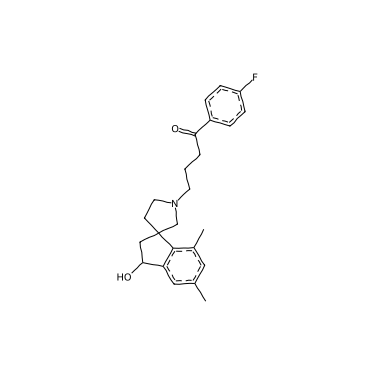 Cc1cc(C)c2c(c1)C(O)CC21CCN(CCCC(=O)c2ccc(F)cc2)C1